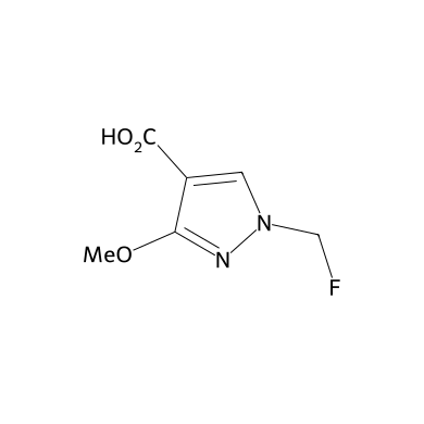 COc1nn(CF)cc1C(=O)O